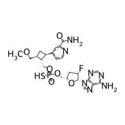 COC[C@H]1C[C@@H](c2ccnc(C(N)=O)c2)[C@@H]1COP(=O)(S)OC[C@@H]1C[C@H](F)[C@H](n2cnc3c(N)ncnc32)O1